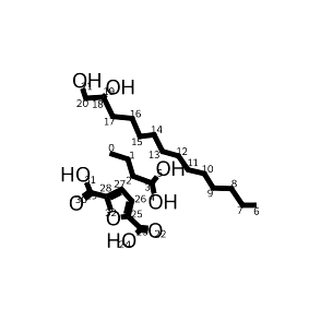 CCCC(O)O.CCCCCCCCCCCCC(O)CO.O=C(O)c1ccc(C(=O)O)o1